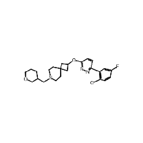 Fc1ccc(Cl)c(-c2ccc(OC3CC4(CCN(CC5CCCOC5)CC4)C3)nn2)c1